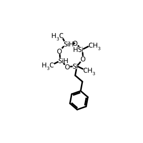 C[SiH]1O[SiH](C)O[Si](C)(CCc2ccccc2)O[SiH](C)O1